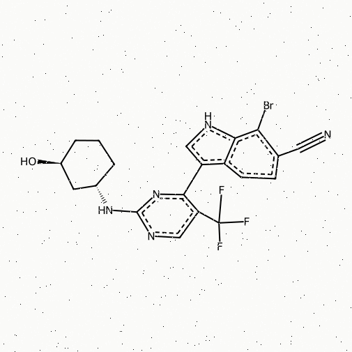 N#Cc1ccc2c(-c3nc(N[C@H]4CCC[C@H](O)C4)ncc3C(F)(F)F)c[nH]c2c1Br